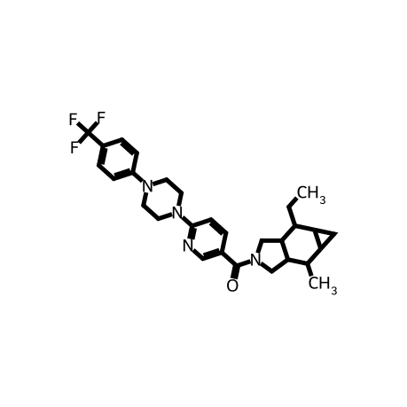 CCC1C2CC2C(C)C2CN(C(=O)c3ccc(N4CCN(c5ccc(C(F)(F)F)cc5)CC4)nc3)CC21